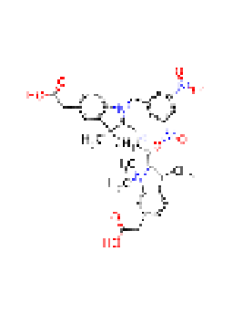 CC1C(=C/C=C/C2=[N+](Cc3cc([N+](=O)[O-])cc([N+](=O)[O-])c3)c3ccc(CC(=O)O)cc3C2(C)C)[N+](C)(C)c2cc(CC(=O)O)ccc21